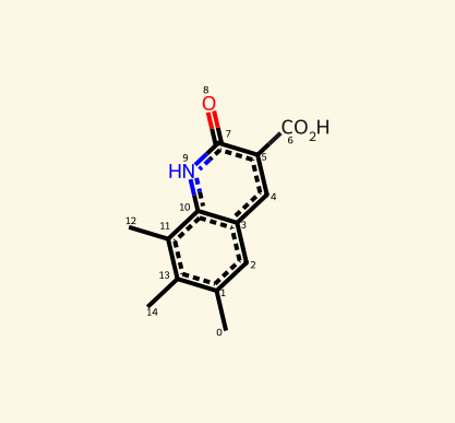 Cc1cc2cc(C(=O)O)c(=O)[nH]c2c(C)c1C